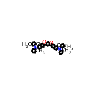 Cc1ccc(C)c(N(c2ccc3cc4c(cc3c2)oc2cc3oc5cc6cc(N(c7ccccc7C)c7cc(C)ccc7C)ccc6cc5c3cc24)c2ccccc2C)c1